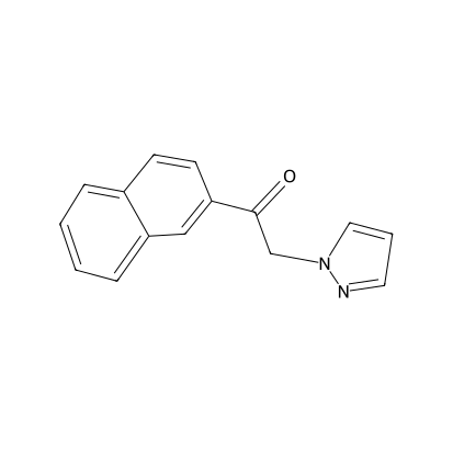 O=C(Cn1cccn1)c1ccc2ccccc2c1